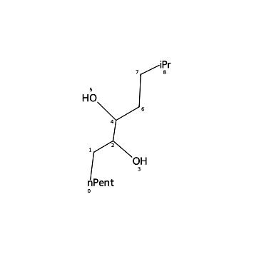 CCCCCCC(O)C(O)CCC(C)C